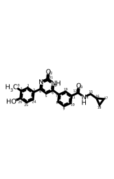 Cc1cc(-c2cc(-c3cccc(C(=O)NCC4CC4)c3)[nH]c(=O)n2)ccc1O